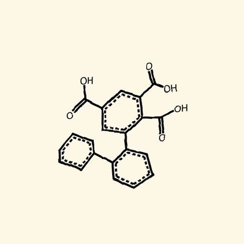 O=C(O)c1cc(C(=O)O)c(C(=O)O)c(-c2ccccc2-c2ccccc2)c1